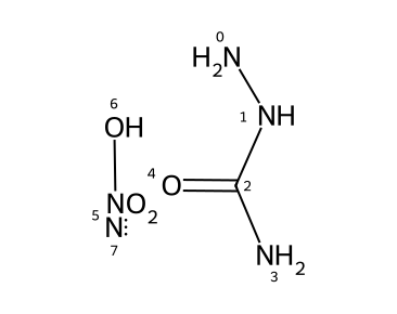 NNC(N)=O.O=[N+]([O-])O.[N]